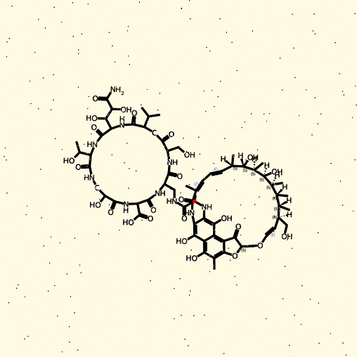 C/C1=C/C=C/[C@H](C)[C@H](O)[C@@H](C)[C@@H](O)[C@@H](C)[C@H](C)[C@H](C)[C@@H](CO)/C=C/O[C@@]2(C)Oc3c(C)c(O)c4c(O)c(c(NC(C)C(=O)NCC5NC(=O)C(C(=O)O)NC(=O)C(O)CNC(=O)C(C(C)O)NC(=O)C(C(O)C(O)C(N)=O)NC(=O)C(C(C)C)CC(=O)C(CO)NC5=O)c(O)c4c3C2=O)NC1=O